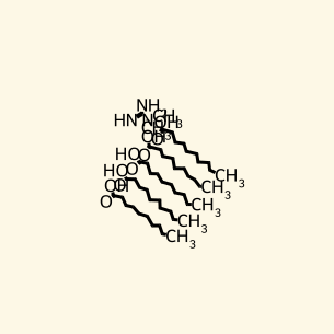 CCCCCCCCCC(=O)O.CCCCCCCCCC(=O)O.CCCCCCCCCC(=O)O.CCCCCCCCCC(=O)O.CCCCCCCCCC(=O)O.CN(C)C(=N)N